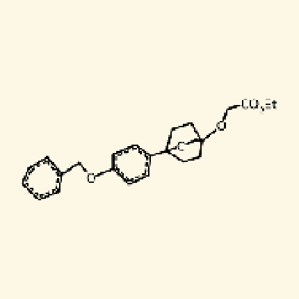 CCOC(=O)COC12CCC(c3ccc(OCc4ccccc4)cc3)(CC1)CC2